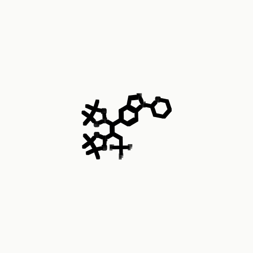 CC1(C)OB(C(CC(F)(F)F)=C(B2OC(C)(C)C(C)(C)O2)c2ccc3c(cnn3C3CCCCO3)c2)OC1(C)C